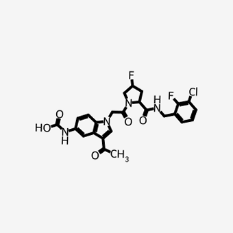 CC(=O)c1cn(CC(=O)N2CC(F)CC2C(=O)NCc2cccc(Cl)c2F)c2ccc(NC(=O)O)cc12